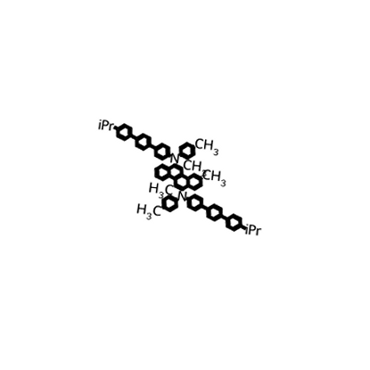 CC1=CC2c3cc(N(c4ccc(-c5ccc(-c6ccc(C(C)C)cc6)cc5)cc4)c4ccc(C)cc4C)c4ccccc4c3C=C(N(c3ccc(-c4ccc(-c5ccc(C(C)C)cc5)cc4)cc3)c3ccc(C)cc3C)C2C=C1